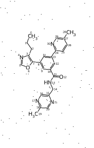 CCCc1ncoc1-c1cc(C(=O)NCc2cnc(C)cn2)cc(-c2ccc(C)cn2)c1